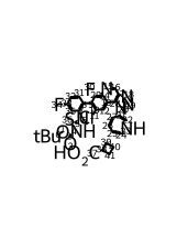 CC(C)(C)OC(=O)Nc1nc2c(-c3c(Cl)cc4c(ncc5nnn(C6=CNC=CC=C6)c54)c3F)ccc(F)c2s1.O=C(O)C1CCC1